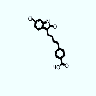 O=C1N=c2cc(Cl)ccc2=C1CC/C=C/c1ccc(C(=O)O)cc1